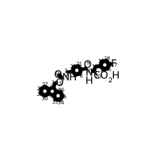 O=C(NCc1ccc(C(=O)N[C@@H](Cc2ccc(F)cc2)C(=O)O)cc1)OCC1c2ccccc2-c2ccccc21